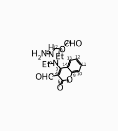 CCN(CC)c1c(C=O)c(=O)oc2ccccc12.NNCOC=O